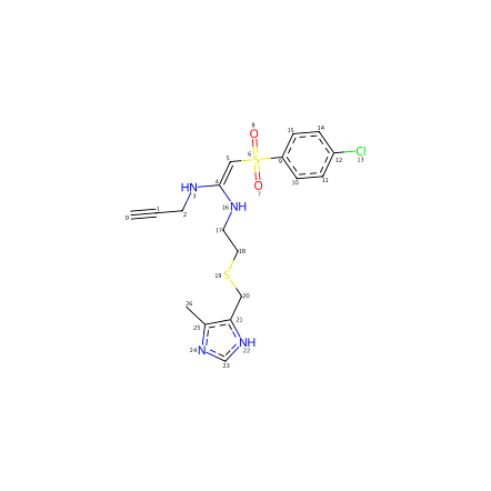 C#CCN/C(=C/S(=O)(=O)c1ccc(Cl)cc1)NCCSCc1[nH]cnc1C